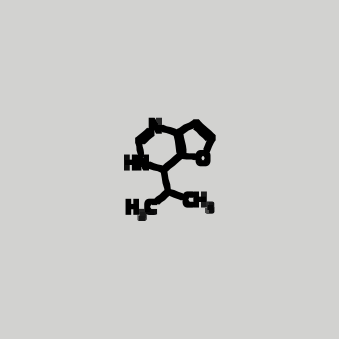 CC(C)C1NC=Nc2ccoc21